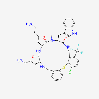 CN1C(=O)[C@H](CCCCN)NC(=O)[C@H](CCCN)NCc2ccccc2Sc2c(Cl)ccc(C(F)(F)F)c2CNC(=O)[C@@H]1Cc1c[nH]c2ccccc12